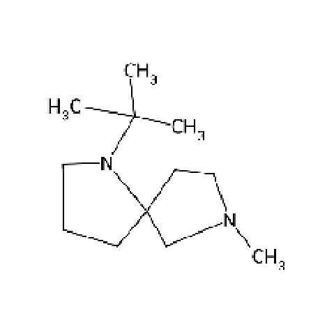 CN1CCC2(CCCN2C(C)(C)C)C1